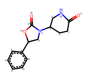 O=C1CCC(N2CC(c3ccccc3)OC2=O)CN1